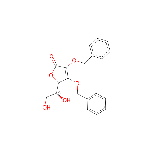 O=C1OC([C@@H](O)CO)C(OCc2ccccc2)=C1OCc1ccccc1